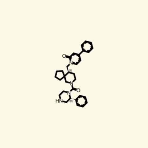 O=C(N1CC[C@H](Cn2ccc(-c3ccccc3)cc2=O)C2(CCCC2)C1)N1CCNC[C@H]1c1ccccc1